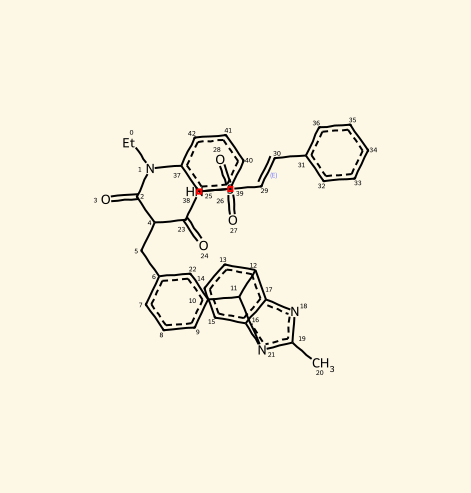 CCN(C(=O)C(Cc1cccc(C2c3cccc4c3nc(C)n42)c1)C(=O)NS(=O)(=O)/C=C/c1ccccc1)c1ccccc1